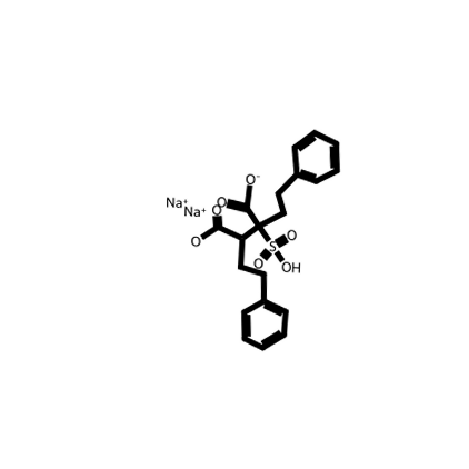 O=C([O-])C(CCc1ccccc1)C(CCc1ccccc1)(C(=O)[O-])S(=O)(=O)O.[Na+].[Na+]